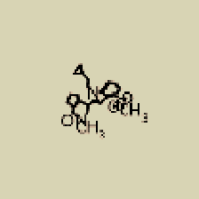 Cn1cc(-c2cc3c(S(C)(=O)=O)cccc3n2CCC2CC2)c2c(c1=O)CCC2